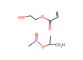 C=CC(=O)OCCO.CC(O[PH](C)=O)C(=O)O